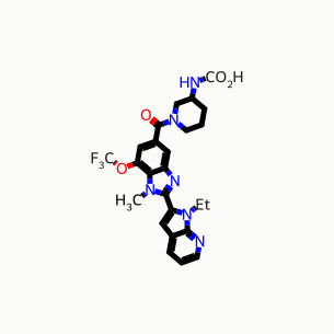 CCn1c(-c2nc3cc(C(=O)N4CCCC(NC(=O)O)C4)cc(OC(F)(F)F)c3n2C)cc2cccnc21